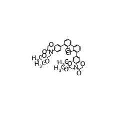 COC(CN1C(=O)COc2cc(-c3cccc(-c4cccc(-c5ccc6c(c5)OCC(=O)N6CC(OC)OC)c4Cl)c3Cl)ccc21)OC